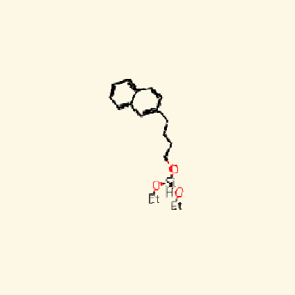 CCO[SiH](OCC)OCCCCc1ccc2ccccc2c1